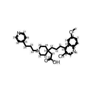 COc1ccc2ncc(Cl)c(CCCC3(CC(=O)O)CCN(CCCc4ccncc4)CC3)c2c1